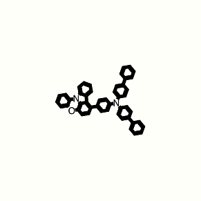 c1ccc(-c2ccc(N(c3ccc(-c4ccccc4)cc3)c3ccc(-c4ccc5c6c4c4ccccc4n6-c4ccccc4O5)cc3)cc2)cc1